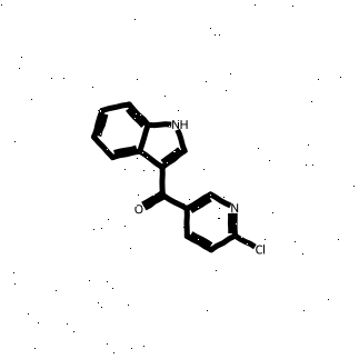 O=C(c1ccc(Cl)nc1)c1c[nH]c2c[c]ccc12